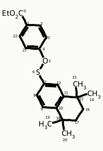 CCOC(=O)c1ccc(OSc2ccc3c(c2)C(C)(C)CCC3(C)C)cc1